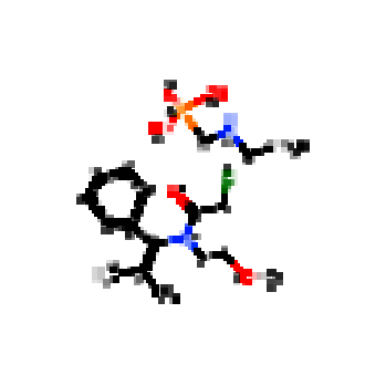 CCOCCN(C(=O)CCl)C(=C(C)C)c1ccccc1.O=C(O)CNCP(=O)(O)O